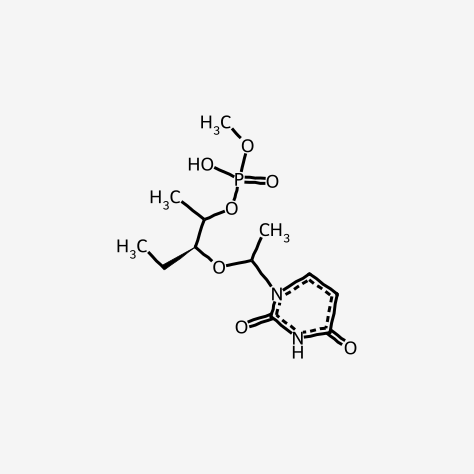 CC[C@H](OC(C)n1ccc(=O)[nH]c1=O)C(C)OP(=O)(O)OC